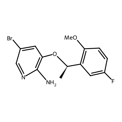 COc1ccc(F)cc1[C@@H](C)Oc1cc(Br)cnc1N